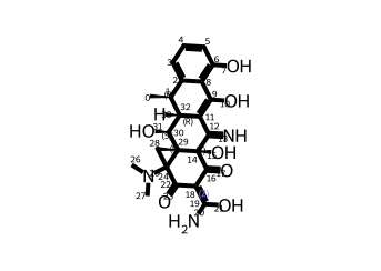 C[C@H]1c2cccc(O)c2C(O)=C2C(=N)[C@]3(O)C(=O)/C(=C(/N)O)C(=O)C4(N(C)C)C[C@]43[C@@H](O)[C@@H]21